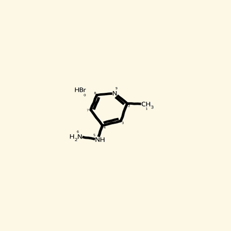 Br.Cc1cc(NN)ccn1